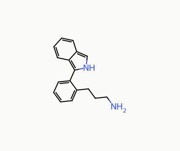 NCCCc1ccccc1-c1[nH]cc2ccccc12